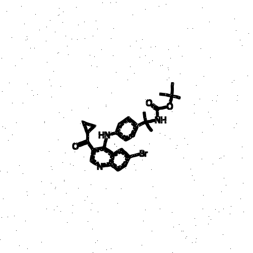 CC(C)(C)OC(=O)NC(C)(C)c1ccc(Nc2c(C(=O)C3CC3)cnc3ccc(Br)cc23)cc1